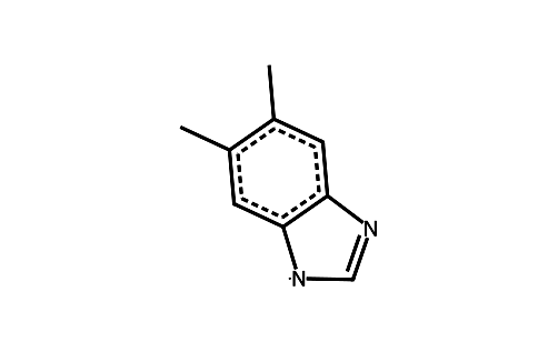 Cc1cc2c(cc1C)N=C[N]2